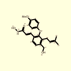 COc1ccc(Oc2c(/C=C/C(=O)NO)ccc(CO)c2CC=C(C)C)cc1